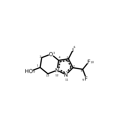 OC1COc2c(I)c(C(F)F)nn2C1